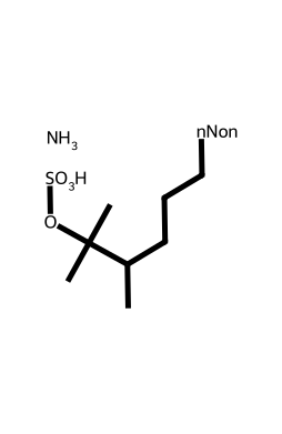 CCCCCCCCCCCCC(C)C(C)(C)OS(=O)(=O)O.N